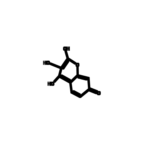 O=c1ccc2c(O)c(O)c(O)oc-2c1